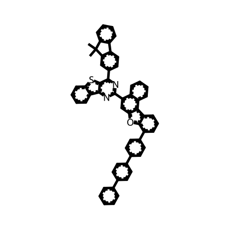 CC1(C)c2ccccc2-c2ccc(-c3nc(-c4cc5oc6c(-c7ccc(-c8ccc(-c9ccccc9)cc8)cc7)cccc6c5c5ccccc45)nc4c3sc3ccccc34)cc21